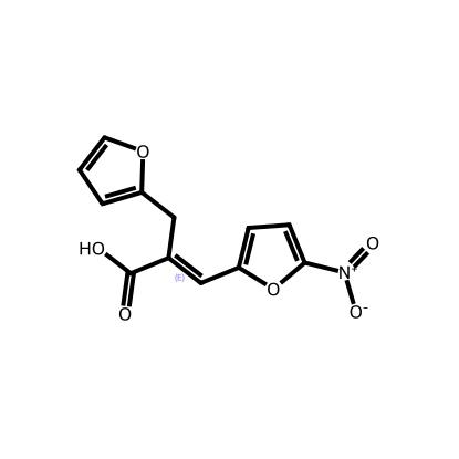 O=C(O)/C(=C/c1ccc([N+](=O)[O-])o1)Cc1ccco1